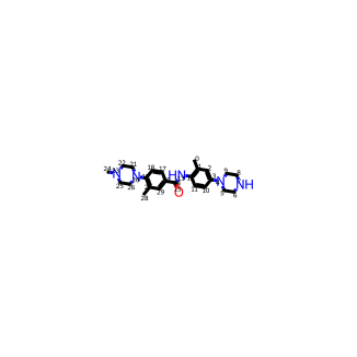 Cc1cc(N2CCNCC2)ccc1NC(=O)c1ccc(N2CCN(C)CC2)c(C)c1